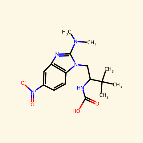 CN(C)c1nc2cc([N+](=O)[O-])ccc2n1CC(NC(=O)O)C(C)(C)C